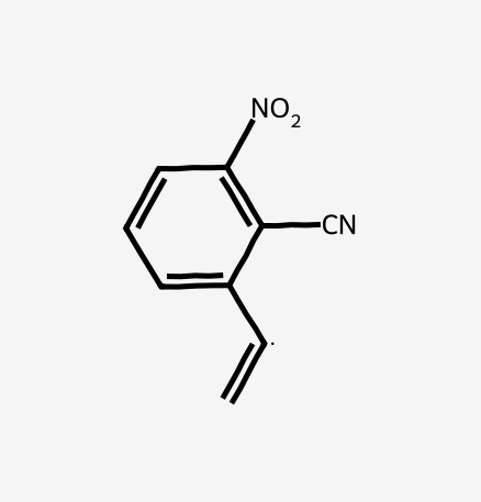 C=[C]c1cccc([N+](=O)[O-])c1C#N